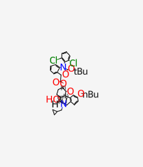 CCCCOc1ccc2c3c1OC1[C@H](OC(=O)Cc4ccccc4N(C(=O)OC(C)(C)C)c4c(Cl)cccc4Cl)CC[C@@]4(O)[C@@H](C2)N(CC2CC2)CC[C@]314